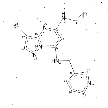 CC(C)CNc1cc(NCc2cccnc2)n2ncc(Br)c2n1